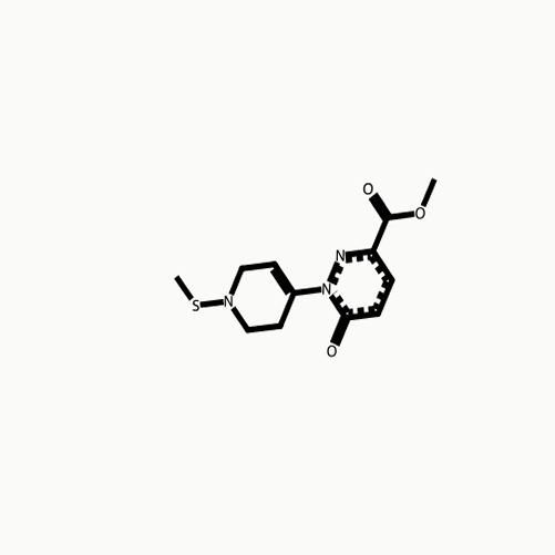 COC(=O)c1ccc(=O)n(C2=CCN(SC)CC2)n1